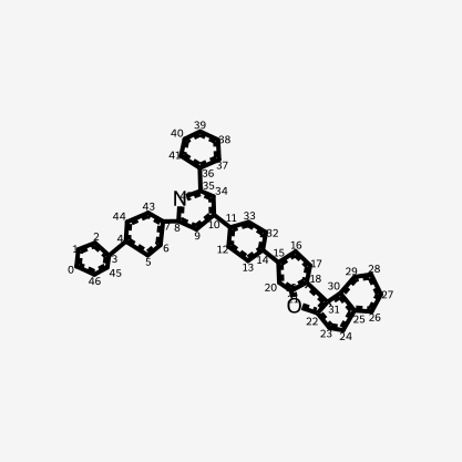 c1ccc(-c2ccc(-c3cc(-c4ccc(-c5ccc6c(c5)oc5ccc7ccccc7c56)cc4)cc(-c4ccccc4)n3)cc2)cc1